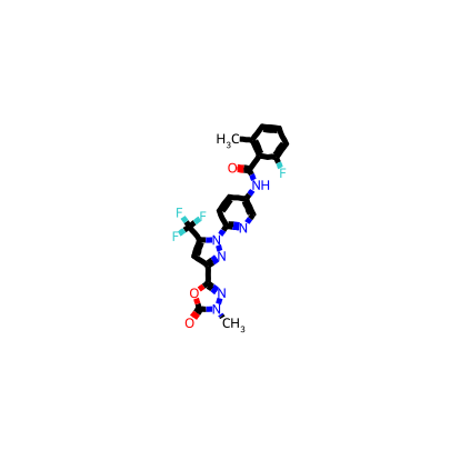 Cc1cccc(F)c1C(=O)Nc1ccc(-n2nc(-c3nn(C)c(=O)o3)cc2C(F)(F)F)nc1